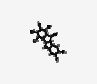 O=C1c2c(Cl)c(Cl)c(Cl)c(Cl)c2-c2nc3cc(Cl)c(F)cc3n21